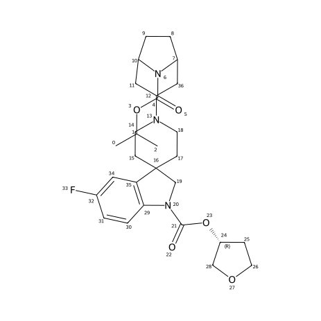 CC(C)OC(=O)N1C2CCC1CC(N1CCC3(CC1)CN(C(=O)O[C@@H]1CCOC1)c1ccc(F)cc13)C2